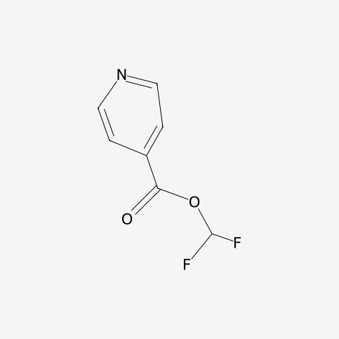 O=C(OC(F)F)c1ccncc1